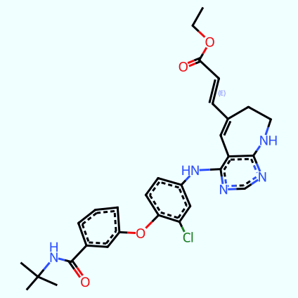 CCOC(=O)/C=C/C1=Cc2c(ncnc2Nc2ccc(Oc3cccc(C(=O)NC(C)(C)C)c3)c(Cl)c2)NCC1